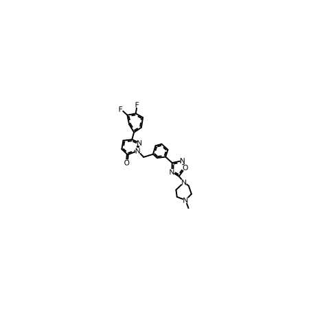 CN1CCN(c2nc(-c3cccc(Cn4nc(-c5ccc(F)c(F)c5)ccc4=O)c3)no2)CC1